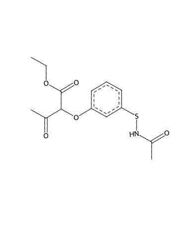 CCOC(=O)C(Oc1cccc(SNC(C)=O)c1)C(C)=O